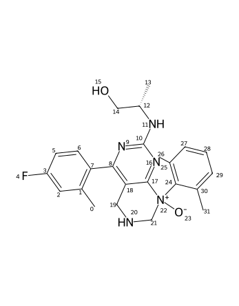 Cc1cc(F)ccc1-c1nc(N[C@@H](C)CO)nc2c1CNC[N+]2([O-])c1c(C)cccc1C